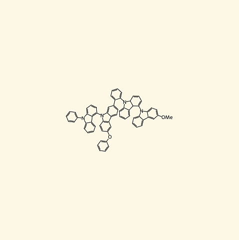 COc1ccc2c(c1)c1ccccc1n2C1=CC=CC2C1c1ccccc1N2c1ccccc1-c1ccc2c3cc(Oc4ccccc4)ccc3n(-c3cccc4c3c3ccccc3n4-c3ccccc3)c2c1